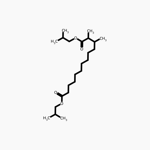 CC(C)COC(=O)CCCCCCCCCC(C)C(C)C(=O)OCC(C)C